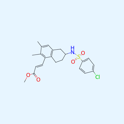 COC(=O)C=Cc1c(C)c(C)cc2c1CCC(NS(=O)(=O)c1ccc(Cl)cc1)C2